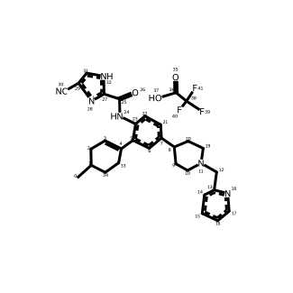 CC1CC=C(c2cc(C3CCN(Cc4ccccn4)CC3)ccc2NC(=O)c2nc(C#N)c[nH]2)CC1.O=C(O)C(F)(F)F